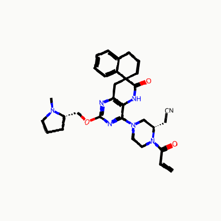 C=CC(=O)N1CCN(c2nc(OC[C@@H]3CCCN3C)nc3c2NC(=O)C2(CCCc4ccccc42)C3)C[C@@H]1CC#N